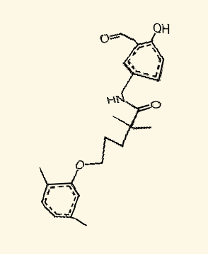 Cc1ccc(C)c(OCCCC(C)(C)C(=O)Nc2ccc(O)c(C=O)c2)c1